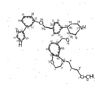 COCCCN1CCOc2ccc(CO[C@H]3CNCC[C@@H]3c3ccc(COc4cccc(-c5c[nH]cn5)c4)cc3)cc21